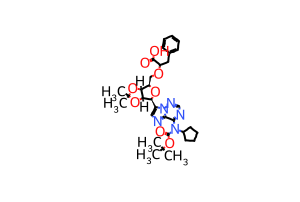 CC(C)(C)OC(=O)N(c1ncnn2c([C@@H]3O[C@H](COC(Cc4ccccc4)C(=O)O)[C@H]4OC(C)(C)O[C@H]43)cnc12)C1CCCC1